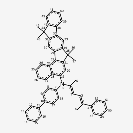 C/C(=C\C=C(/C)N(c1ccc(-c2ccccc2)cc1)c1cc2c(c3ccccc13)-c1cc3c(cc1C2(C)C)-c1ccccc1C3(C)C)c1ccccc1